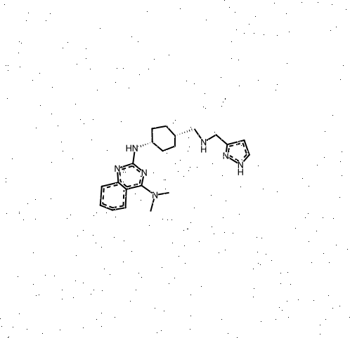 CN(C)c1nc(N[C@H]2CC[C@@H](CNCc3cc[nH]n3)CC2)nc2ccccc12